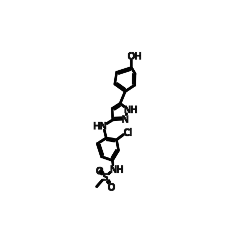 CS(=O)(=O)Nc1ccc(Nc2cc(-c3ccc(O)cc3)[nH]n2)c(Cl)c1